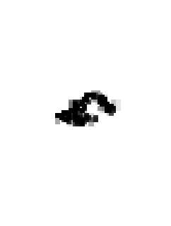 CCCCN(C(=O)Nc1ccc(F)cc1Cl)C1CCN(Cc2ccc(Oc3ccc(NS(C)(=O)=O)cc3)cc2)CC1.Cl